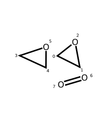 C1CO1.C1CO1.O=O